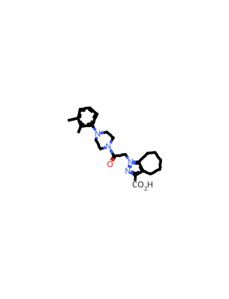 Cc1cccc(N2CCN(C(=O)Cn3nc(C(=O)O)c4c3CCCCC4)CC2)c1C